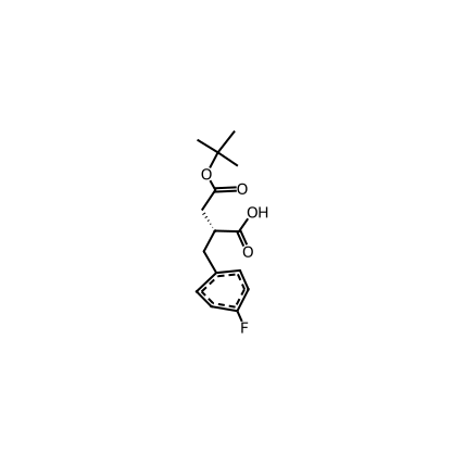 CC(C)(C)OC(=O)C[C@@H](Cc1ccc(F)cc1)C(=O)O